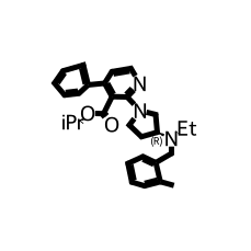 CCN(Cc1ccccc1C)[C@@H]1CCN(c2nccc(-c3ccccc3)c2C(=O)OC(C)C)C1